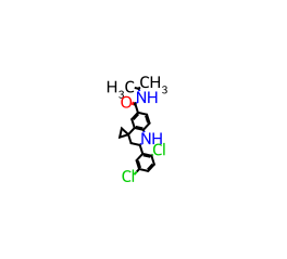 CC(C)NC(=O)c1ccc2c(c1)C1(CC1)CC(c1cc(Cl)ccc1Cl)N2